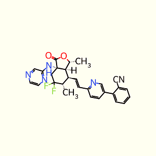 C[C@H]1OC(=O)[C@]2(Nc3cnccn3)CC(F)(F)[C@@H](C)[C@H](/C=C/c3ccc(-c4ccccc4C#N)cn3)[C@H]12